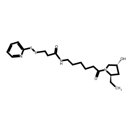 CC[C@@H]1C[C@@H](O)CN1C(=O)CCCCCNC(=O)CCSSc1ccccn1